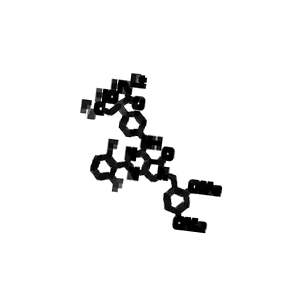 CCNC(=O)C(O)(CC(F)(F)F)c1ccc(Nc2nc(-c3c(F)cccc3F)nc3c2C(=O)N(Cc2ccc(OC)cc2OC)C3)cc1